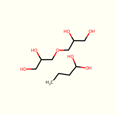 CCCC(O)O.OCC(O)COCC(O)CO